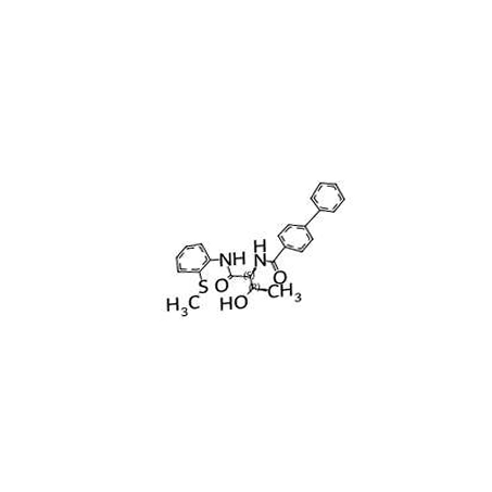 CSc1ccccc1NC(=O)[C@@H](NC(=O)c1ccc(-c2ccccc2)cc1)[C@@H](C)O